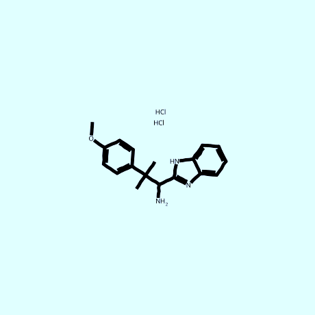 COc1ccc(C(C)(C)C(N)c2nc3ccccc3[nH]2)cc1.Cl.Cl